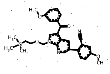 COc1cccc(C(=O)c2cn(COCC[Si](C)(C)C)c3ncc(-c4ccc(OC)cc4C#N)cc23)c1